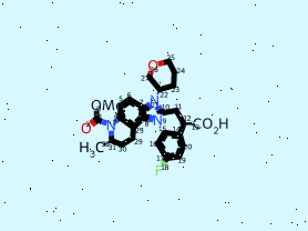 COC(=O)N1c2ccc3c(nc(C[C@@H](C(=O)O)c4ccc(F)cc4)n3[C@H]3CCCOC3)c2CC[C@@H]1C